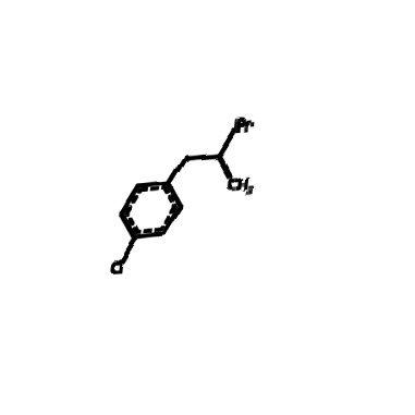 C[C](C)C(C)Cc1ccc(Cl)cc1